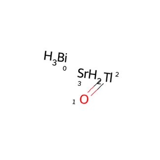 [BiH3].[O]=[Tl].[SrH2]